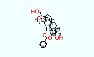 C[C@]12C[C@H](OC(=O)c3ccccc3)[C@@H](O)C[C@@H]1CC[C@@H]1[C@@H]2CC[C@]2(C)[C@@H](C(=O)CO)CC[C@@H]12